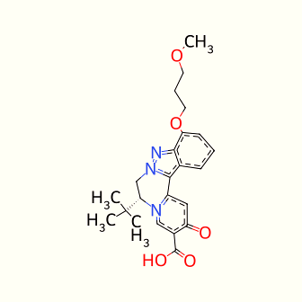 COCCCOc1cccc2c3n(nc12)C[C@@H](C(C)(C)C)n1cc(C(=O)O)c(=O)cc1-3